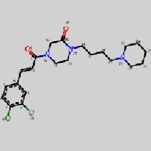 O=C(/C=C/c1ccc(Cl)c(Cl)c1)N1CCN(CCCCN2CCCCC2)C(=O)C1